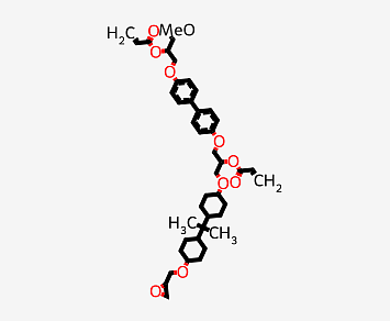 C=CC(=O)OC(COC)COc1ccc(-c2ccc(OCC(COC3CCC(C(C)(C)C4CCC(OCC5CO5)CC4)CC3)OC(=O)C=C)cc2)cc1